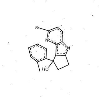 Cc1ccccc1C1(O)CCc2nc3ccc(Br)nn3c21